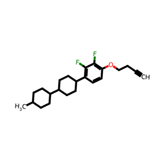 C#CCCOc1ccc(C2CCC(C3CCC(C)CC3)CC2)c(F)c1F